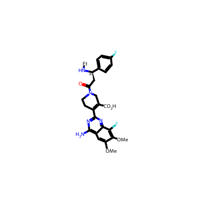 CCN[C@H](CC(=O)N1CCC(c2nc(N)c3cc(OC)c(OC)c(F)c3n2)=C(C(=O)O)C1)c1ccc(F)cc1